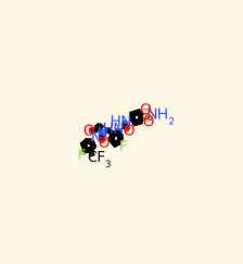 CC1(C)C(=O)N(c2ccc(F)c(C(F)(F)F)c2)C(=O)N1Cc1ccc(F)cc1NC(=O)Nc1ccc(S(N)(=O)=O)cc1